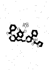 Cl.O.O=C(NC1(c2ccccc2)CCN(CCCC2(c3ccc(Cl)c(Cl)c3)CCCN(C(=O)c3ccccc3)C2)CC1)c1ccco1